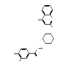 Cc1cc(N[C@H]2CC[C@@H](CNC(=O)c3ccc(F)c(F)c3)CC2)nc2ccccc12